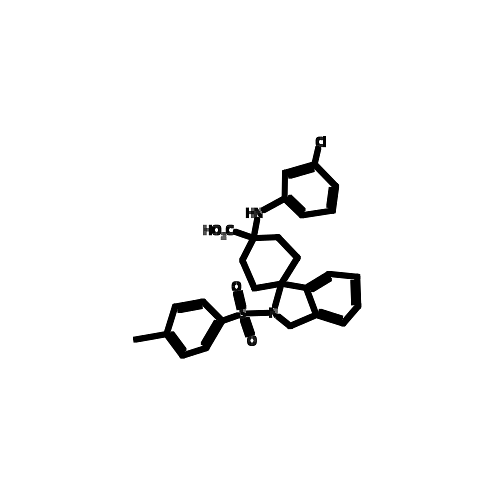 Cc1ccc(S(=O)(=O)N2Cc3ccccc3C23CCC(Nc2cccc(Cl)c2)(C(=O)O)CC3)cc1